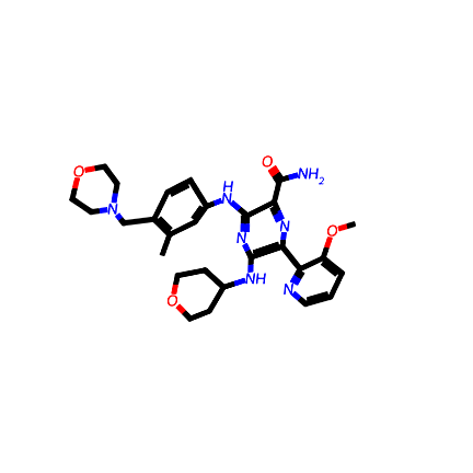 COc1cccnc1-c1nc(C(N)=O)c(Nc2ccc(CN3CCOCC3)c(C)c2)nc1NC1CCOCC1